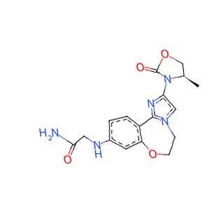 C[C@@H]1COC(=O)N1c1cn2c(n1)-c1ccc(NCC(N)=O)cc1OCC2